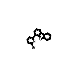 Brc1cccc(-c2cccc3c2oc2ccccc23)n1